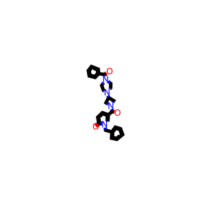 O=C(c1ccccc1)N1CCN(C2CN(C(=O)c3ccc(=O)n(Cc4ccccc4)c3)C2)CC1